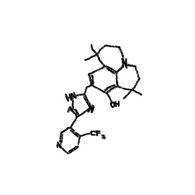 CC1(C)CCN2CCC(C)(C)c3c(O)c(-c4nc(-c5cnccc5C(F)(F)F)n[nH]4)cc1c32